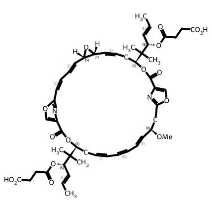 C/C=C/[C@H](OC(=O)CCC(=O)O)C(C)(C)[C@@H]1C\C=C/C=C\C=C\[C@H](OC)Cc2nc(co2)C(=O)O[C@H](C(C)(C)[C@H](/C=C/C)OC(=O)CCC(=O)O)C/C=C\[C@H]2O[C@H]2/C=C/C=C\c2nc(co2)C(=O)O1